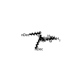 CCCCCCCCCCCCCCCCCC(=O)OCC(COP(=O)(OC)OCCNC(=O)C(N)CCN)OC(=O)CCCCCCCCCCCCCCCCC